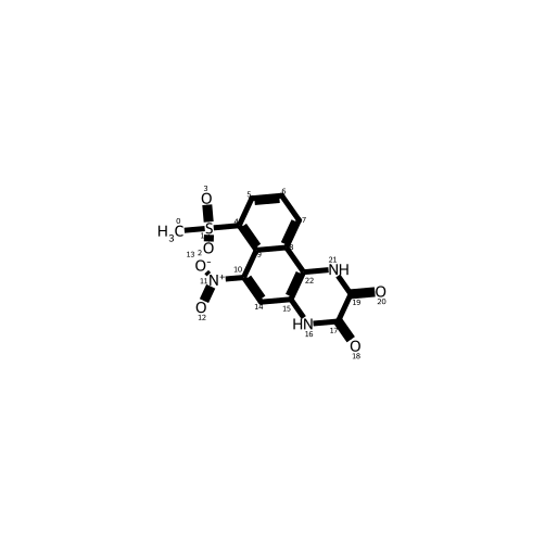 CS(=O)(=O)c1cccc2c1c([N+](=O)[O-])cc1[nH]c(=O)c(=O)[nH]c12